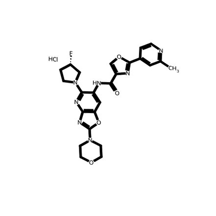 Cc1cc(-c2nc(C(=O)Nc3cc4oc(N5CCOCC5)nc4nc3N3CC[C@H](F)C3)co2)ccn1.Cl